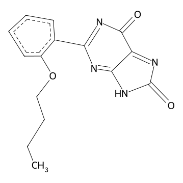 CCCCOc1ccccc1C1=NC(=O)C2=NC(=O)NC2=N1